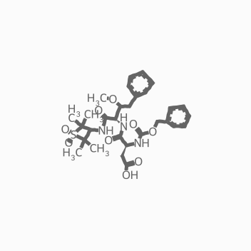 COC(Cc1ccccc1)[C@H](NC(=O)[C@H](CC(=O)O)NC(=O)OCc1ccccc1)C(=O)NC1C(C)(C)S(=O)(=O)C1(C)C